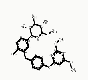 COc1cc(Oc2ccc(Cc3cc([C@@H]4OC(OC)[C@@H](O)[C@H](O)[C@H]4O)ccc3Cl)cc2)nc(OC)n1